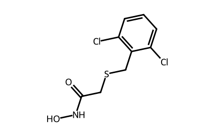 O=C(CSCc1c(Cl)cccc1Cl)NO